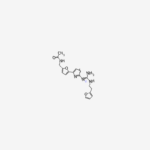 CC(=O)NCc1ccc(-c2csc(/N=C(\N)NCCc3ccco3)n2)o1